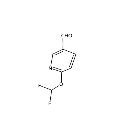 O=Cc1ccc(OC(F)F)nc1